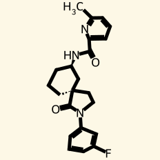 Cc1cccc(C(=O)N[C@@H]2CCC[C@@]3(CCN(c4cccc(F)c4)C3=O)C2)n1